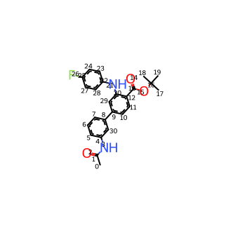 CC(=O)Nc1cccc(-c2ccc(C(=O)OC(C)(C)C)c(Nc3ccc(F)cc3)c2)c1